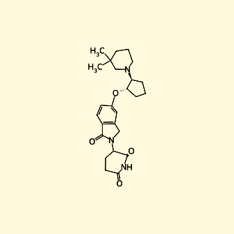 CC1(C)CCCN([C@H]2CCC[C@@H]2Oc2ccc3c(c2)CN(C2CCC(=O)NC2=O)C3=O)C1